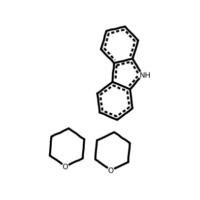 C1CCOCC1.C1CCOCC1.c1ccc2c(c1)[nH]c1ccccc12